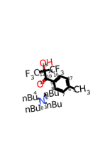 CCCC[N+](CCCC)(CCCC)CCCC.Cc1ccc(C(=O)C(O)(C(F)(F)F)C(F)(F)F)cc1